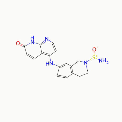 N[S+]([O-])N1CCc2ccc(Nc3ccnc4[nH]c(=O)ccc34)cc2C1